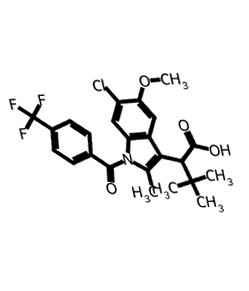 COc1cc2c(C(C(=O)O)C(C)(C)C)c(C)n(C(=O)c3ccc(C(F)(F)F)cc3)c2cc1Cl